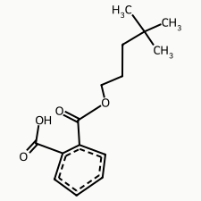 CC(C)(C)CCCOC(=O)c1ccccc1C(=O)O